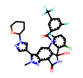 Cn1nc2c3c(c(NC(=O)c4cc(F)cc(C(F)(F)F)c4)cc2c1-c1cnn(C2CCCCO2)c1)C(O)(c1cc(F)ccc1Cl)NC3=O